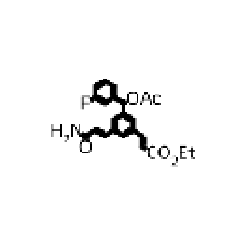 CCOC(=O)/C=C/c1cc(/C=C/C(N)=O)cc(C(OC(C)=O)c2cccc(F)c2)c1